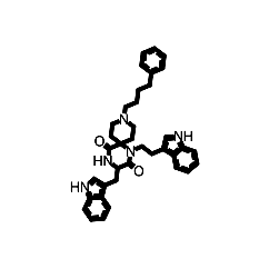 O=C1C(Cc2c[nH]c3ccccc23)NC(=O)C2(CCN(CCCCc3ccccc3)CC2)N1CCc1c[nH]c2ccccc12